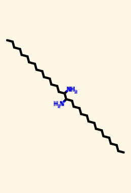 CCCCCCCCCCCCCCCC(N)C(N)CCCCCCCCCCCCCCC